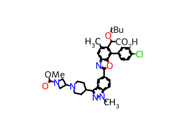 COC(=O)N1CC(N2CCC(c3nn(C)c4ccc(-c5nc6cc(C)c(C(OC(C)(C)C)C(=O)O)c(-c7ccc(Cl)cc7)c6o5)cc34)CC2)C1